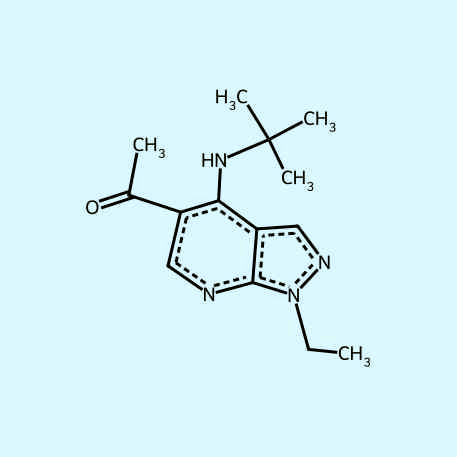 CCn1ncc2c(NC(C)(C)C)c(C(C)=O)cnc21